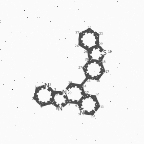 c1cnc2c(c1)nc1c3ncccc3c(-c3ccc4sc5ccccc5c4c3)cn21